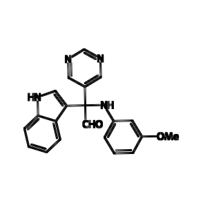 COc1cccc(NC(C=O)(c2cncnc2)c2c[nH]c3ccccc23)c1